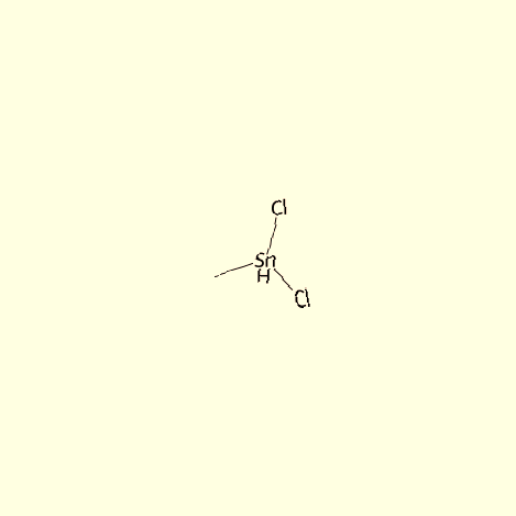 [CH3][SnH]([Cl])[Cl]